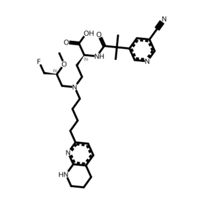 CO[C@H](CF)CN(CCCCc1ccc2c(n1)NCCC2)CC[C@H](NC(=O)C(C)(C)c1cncc(C#N)c1)C(=O)O